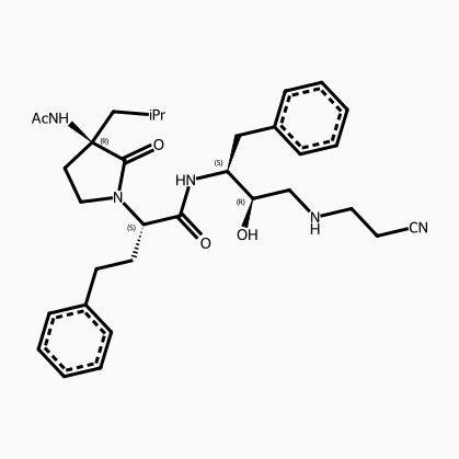 CC(=O)N[C@]1(CC(C)C)CCN([C@@H](CCc2ccccc2)C(=O)N[C@@H](Cc2ccccc2)[C@H](O)CNCCC#N)C1=O